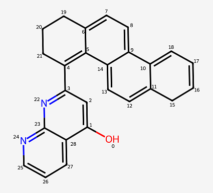 Oc1cc(C2=c3c(ccc4c5c(ccc34)CC=CC=5)CCC2)nc2ncccc12